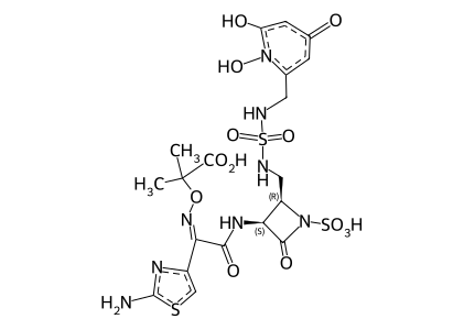 CC(C)(ON=C(C(=O)N[C@@H]1C(=O)N(S(=O)(=O)O)[C@@H]1CNS(=O)(=O)NCc1cc(=O)cc(O)n1O)c1csc(N)n1)C(=O)O